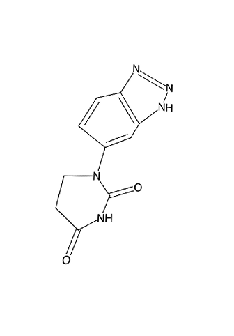 O=C1CCN(c2ccc3nn[nH]c3c2)C(=O)N1